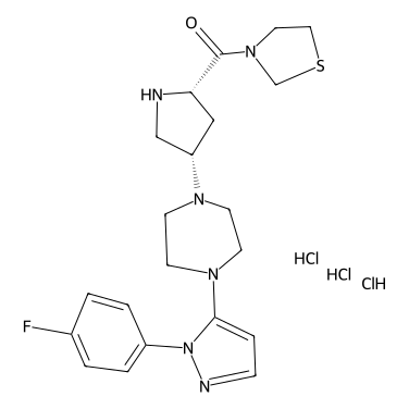 Cl.Cl.Cl.O=C([C@@H]1C[C@H](N2CCN(c3ccnn3-c3ccc(F)cc3)CC2)CN1)N1CCSC1